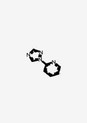 [c]1ccc(-n2cncn2)nc1